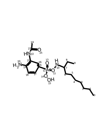 CCCCCCCC(CC)NO[As](=O)(OO)c1ccc(N)c(NC(C)=O)c1